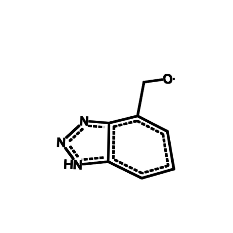 [O]Cc1cccc2[nH]nnc12